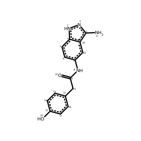 Nc1n[nH]c2ccc(NC(=O)Cc3ccc(O)cc3)cc12